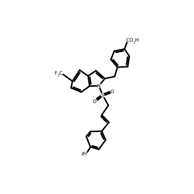 CC(C)c1ccc(C=CCS(=O)(=O)n2c(Cc3ccc(C(=O)O)cc3)cc3cc(C(F)(F)F)ccc32)cc1